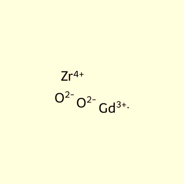 [Gd+3].[O-2].[O-2].[Zr+4]